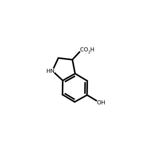 O=C(O)C1CNc2ccc(O)cc21